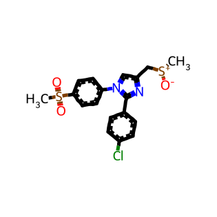 C[S+]([O-])Cc1cn(-c2ccc(S(C)(=O)=O)cc2)c(-c2ccc(Cl)cc2)n1